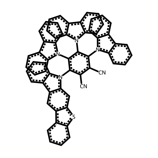 N#Cc1c(C#N)c(-n2c3ccccc3c3cc4c(cc32)sc2ccccc24)c(-n2c3ccccc3c3ccccc32)c(-n2c3ccccc3c3ccccc32)c1-n1c2ccccc2c2ccccc21